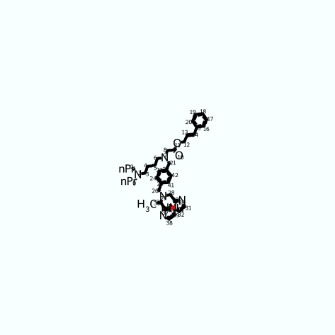 CCCN(CCC)CCCCN(CC(=O)OCC=Cc1ccccc1)Cc1ccc(CN(Cc2ncc[nH]2)C(C)c2ncc[nH]2)cc1